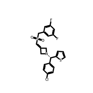 O=S(=O)(C=C1CN([C@@H](c2ccc(Cl)cc2)c2cccs2)C1)Cc1cc(F)cc(F)c1